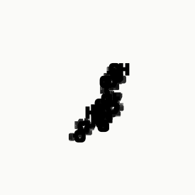 COc1cccc(CNC(=O)c2nc3ccc(F)c(OCCC4CCC(CO)(OC)CO4)c3c(=O)[nH]2)c1